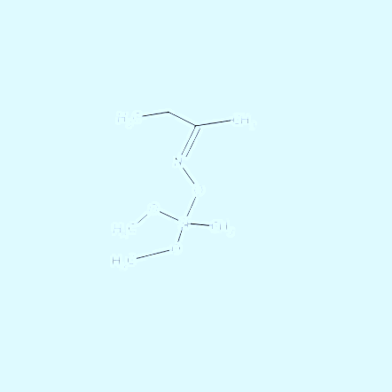 CCC(C)=NO[Si](C)(OC)OC